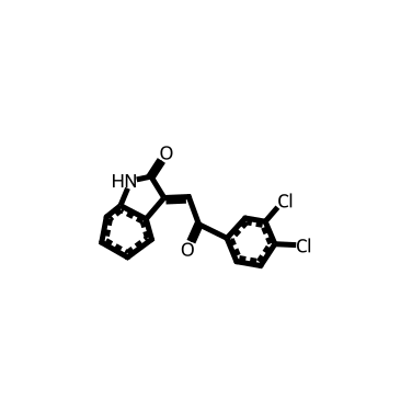 O=C1Nc2ccccc2/C1=C\C(=O)c1ccc(Cl)c(Cl)c1